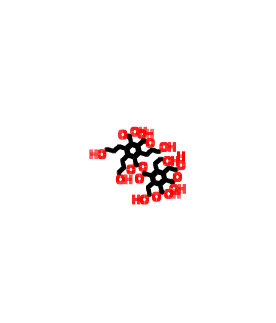 O=C(OC(=O)c1c(CCCO)c(CCCO)c(C(=O)O)c(C(=O)O)c1CCCO)c1c(CCO)c(CCO)c(C(=O)O)c(C(=O)O)c1CCO